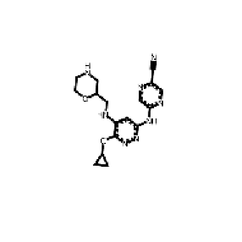 N#Cc1cnc(Nc2cc(NCC3CNCCO3)c(OC3CC3)nn2)cn1